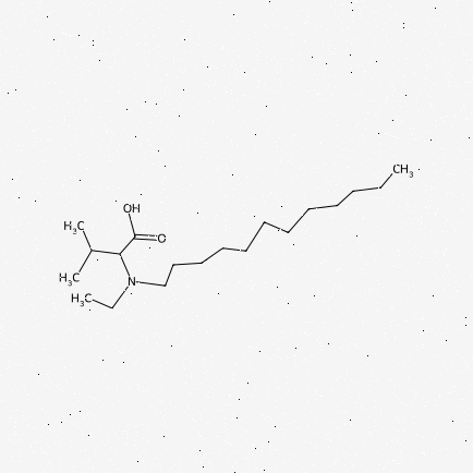 CCCCCCCCCCCCN(CC)C(C(=O)O)C(C)C